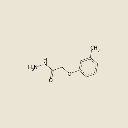 Cc1cccc(OCC(=O)NN)c1